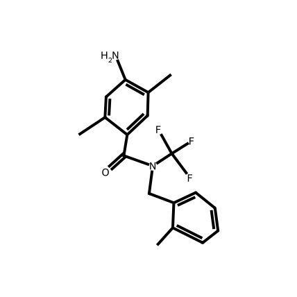 Cc1cc(C(=O)N(Cc2ccccc2C)C(F)(F)F)c(C)cc1N